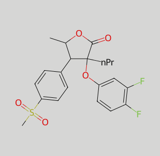 CCCC1(Oc2ccc(F)c(F)c2)C(=O)OC(C)C1c1ccc(S(C)(=O)=O)cc1